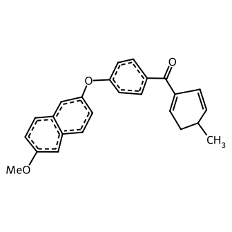 COc1ccc2cc(Oc3ccc(C(=O)C4=CCC(C)C=C4)cc3)ccc2c1